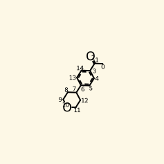 CC(=O)c1ccc(C2CCOCC2)cc1